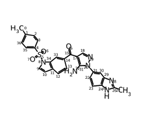 Cc1ccc(S(=O)(=O)n2ccc3ccc(C(=O)c4cnn(-c5ccc6[nH]c(C)nc6c5)c4N)cc32)cc1